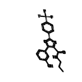 CCCNC(=O)c1nc(-c2ccc(C(F)(F)F)cc2)oc1-c1cccc(O)c1